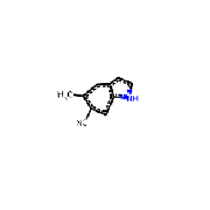 Cc1cc2cc[nH]c2cc1C#N